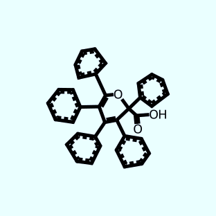 O=C(O)C1(c2ccccc2)OC(c2ccccc2)=C(c2ccccc2)C(c2ccccc2)=C1c1ccccc1